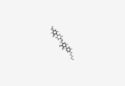 CCCCCc1ccc(-c2ccc(COC3CCC(c4ccc(OC)cc4F)CC3)c(F)c2F)cc1